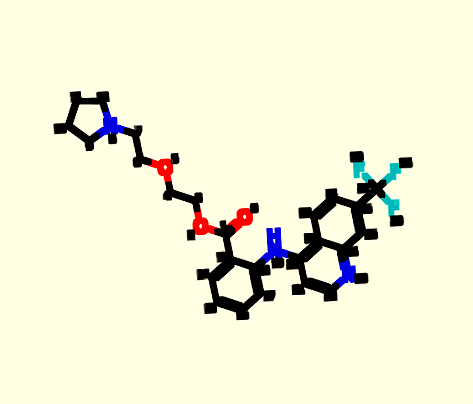 O=C(OCCOCCN1CCCC1)c1ccccc1Nc1ccnc2cc(C(F)(F)F)ccc12